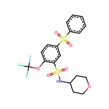 O=S(=O)(NC1CCOCC1)c1cc(S(=O)(=O)c2ccccc2)ccc1OC(F)(F)F